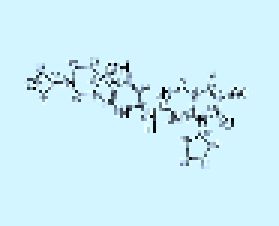 CC(=O)c1c(C)c2cnc(Nc3ccc(C4(O)CCN(C5COC5)CC4)cn3)nc2n(C2CCCC2)c1=O